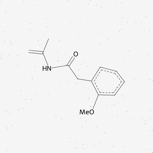 C=C(C)NC(=O)Cc1ccccc1OC